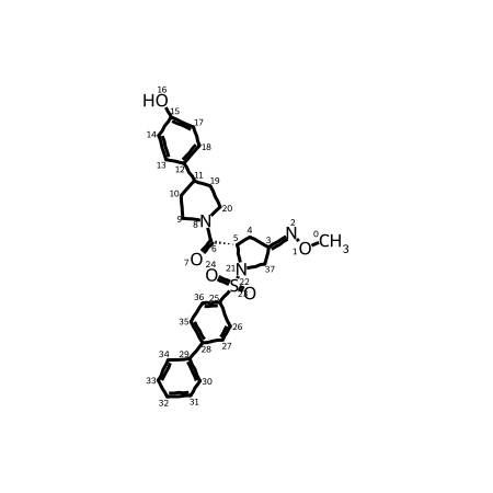 CON=C1C[C@@H](C(=O)N2CCC(c3ccc(O)cc3)CC2)N(S(=O)(=O)c2ccc(-c3ccccc3)cc2)C1